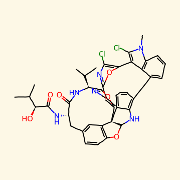 CC(C)[C@H](O)C(=O)N[C@H]1Cc2ccc3c(c2)[C@]24c5cccc(c5NC2O3)-c2cccc3c2c(c(Cl)n3C)-c2oc(nc2Cl)-c2nc(oc24)[C@H](C(C)C)NC1=O